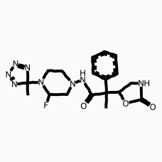 CC(C(=O)NN1CCN(C2(C)N=NN=N2)C(F)C1)(c1ccccc1)C1CNC(=O)O1